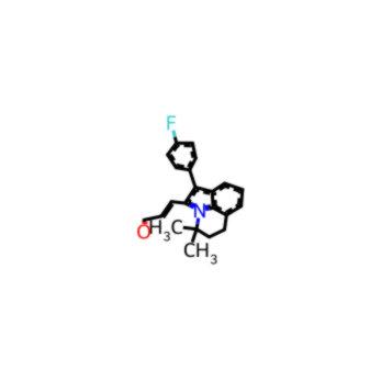 CC1(C)CCc2cccc3c(-c4ccc(F)cc4)c(C=CC=O)n1c23